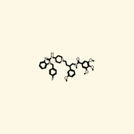 COc1cccc(C(CCN2CCC(Nc3nc4ccccc4n3Cc3ccc(F)cc3)CC2)CN(C)C(=O)c2cc(OC)c(OC)c(OC)c2)c1